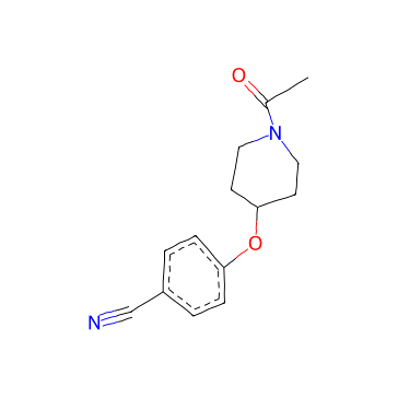 CC(=O)N1CCC(Oc2ccc(C#N)cc2)CC1